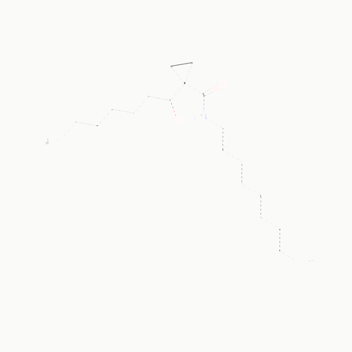 CCCCCCCCCCCCCCCCCCNC(=O)C1(C(O)CCCCCCCCCCCCCCC)CC1